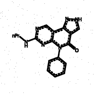 CCCNc1ncc2c3n[nH]cc3c(=O)n(-c3ccccc3)c2n1